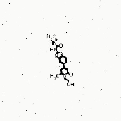 CCNC(=O)Nc1nc2cc(-c3cc(C)n(CCO)c(=O)c3)ccc2s1